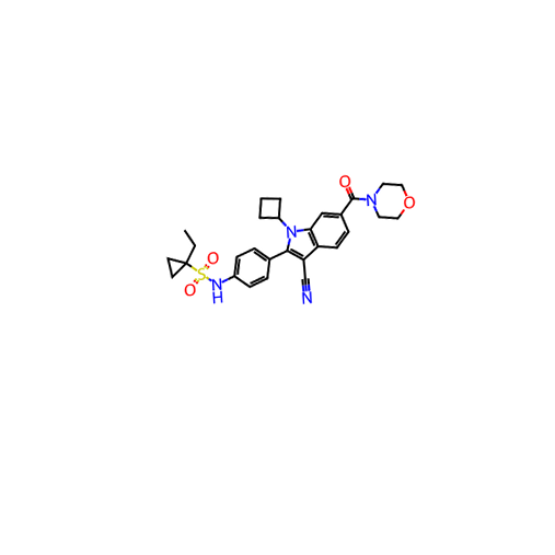 CCC1(S(=O)(=O)Nc2ccc(-c3c(C#N)c4ccc(C(=O)N5CCOCC5)cc4n3C3CCC3)cc2)CC1